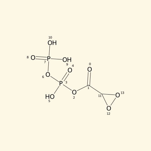 O=C(OP(=O)(O)OP(=O)(O)O)C1OO1